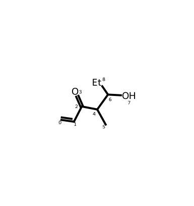 C=CC(=O)C(C)C(O)CC